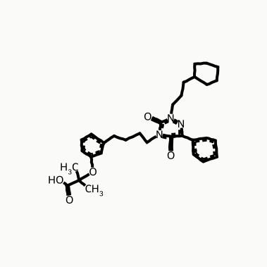 CC(C)(Oc1cccc(CCCCn2c(=O)c(-c3ccccc3)nn(CCCC3CCCCC3)c2=O)c1)C(=O)O